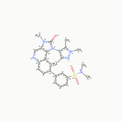 Cc1nn(C)c(C)c1-n1c(=O)n(C)c2cnc3ccc(-c4cccc(S(=O)(=O)N(C)C)c4)cc3c21